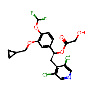 O=C(CO)O[C@@H](Cc1c(Cl)cncc1Cl)c1ccc(OC(F)F)c(OCC2CC2)c1